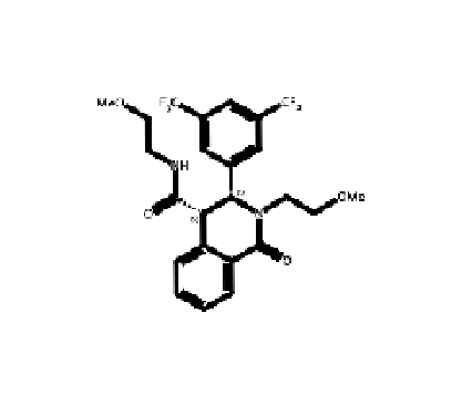 COCCNC(=O)[C@H]1c2ccccc2C(=O)N(CCOC)[C@@H]1c1cc(C(F)(F)F)cc(C(F)(F)F)c1